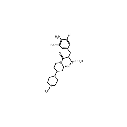 CCCC[C@H](C(=O)O)C(Cc1cc(Cl)c(N)c(C(F)(F)F)c1)C(=O)N1CCC(N2CCN(C)CC2)CC1